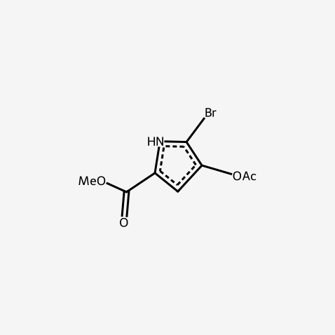 COC(=O)c1cc(OC(C)=O)c(Br)[nH]1